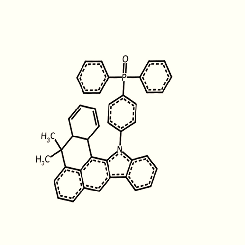 CC1(C)c2cccc3cc4c5ccccc5n(-c5ccc(P(=O)(c6ccccc6)c6ccccc6)cc5)c4c(c23)C2C=CC=CC21